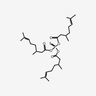 CC(C)=CCCC(C)CC(=O)OP(=S)(OC(=O)CC(C)CCC=C(C)C)OC(=O)CC(C)CCC=C(C)C